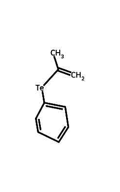 C=C(C)[Te]c1ccccc1